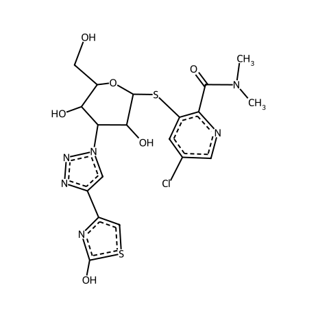 CN(C)C(=O)c1ncc(Cl)cc1SC1OC(CO)C(O)C(n2cc(-c3csc(O)n3)nn2)C1O